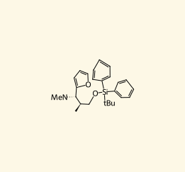 CN[C@H](c1ccco1)[C@H](C)CO[Si](c1ccccc1)(c1ccccc1)C(C)(C)C